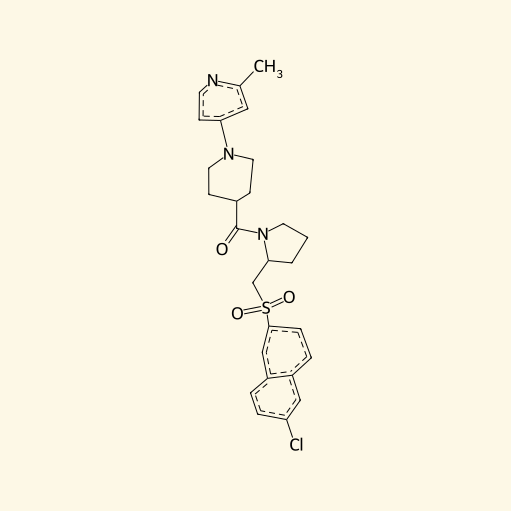 Cc1cc(N2CCC(C(=O)N3CCCC3CS(=O)(=O)c3ccc4cc(Cl)ccc4c3)CC2)ccn1